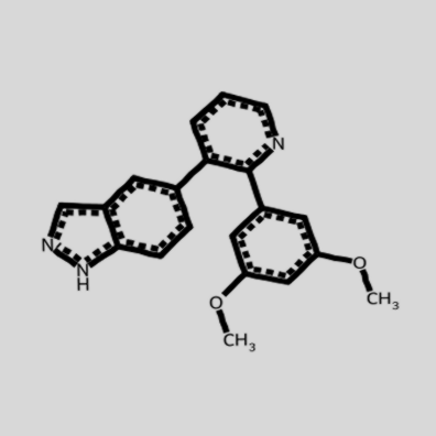 COc1cc(OC)cc(-c2ncccc2-c2ccc3[nH]ncc3c2)c1